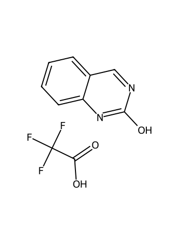 O=C(O)C(F)(F)F.Oc1ncc2ccccc2n1